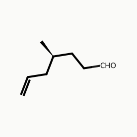 C=CC[C@@H](C)CCC=O